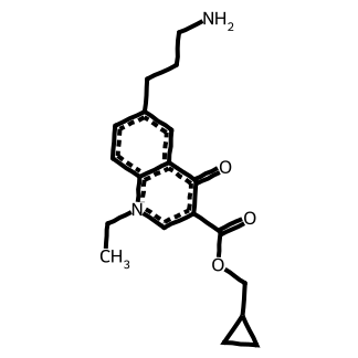 CCn1cc(C(=O)OCC2CC2)c(=O)c2cc(CCCN)ccc21